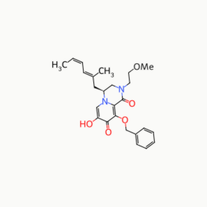 C/C=C\C=C(/C)C[C@H]1CN(CCOC)C(=O)c2c(OCc3ccccc3)c(=O)c(O)cn21